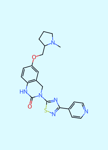 CN1CCCC1COc1ccc2c(c1)CN(c1nc(-c3ccncc3)ns1)C(=O)N2